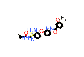 Nc1c(Oc2cccc(NC(=O)c3cccc(OC(F)(F)F)c3)c2)ccc2nc(NC(=O)C3CC3)sc12